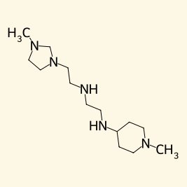 CN1CCC(NCCNCCN2CCN(C)C2)CC1